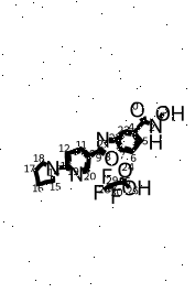 O=C(NO)c1ccc2oc(-c3ccc(N4CCCC4)nc3)nc2c1.O=C(O)C(F)(F)F